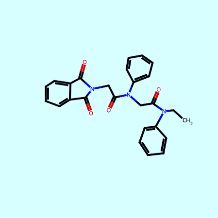 CCN(C(=O)CN(C(=O)CN1C(=O)c2ccccc2C1=O)c1ccccc1)c1ccccc1